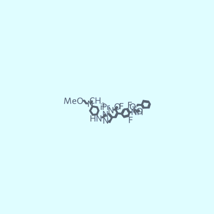 COCCN(C)[C@H]1CC[C@@H](Nc2ncc3cc(-c4cc(F)c(NS(=O)(=O)Cc5ccccc5)c(F)c4F)c(=O)n(C(C)C)c3n2)CC1